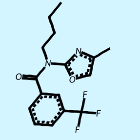 CCCCN(C(=O)c1cccc(C(F)(F)F)c1)c1nc(C)co1